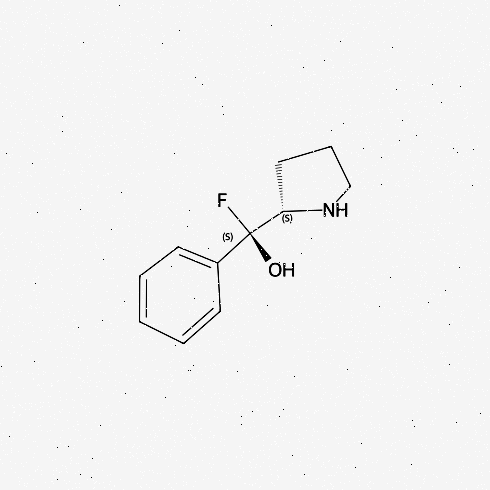 O[C@](F)(c1ccccc1)[C@@H]1CCCN1